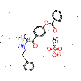 CS(=O)(=O)O.C[C@H](NCCc1ccccc1)C(=O)c1ccc(OC(=O)c2ccccc2)cc1